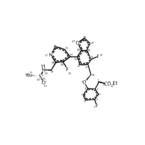 CCOC(=O)Cc1cc(F)ccc1OCc1cc(-c2ccnc(CN[S@+]([O-])C(C)(C)C)c2F)c2occc2c1F